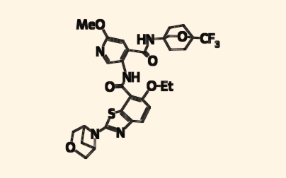 CCOc1ccc2nc(N3C4COCC3C4)sc2c1C(=O)Nc1cnc(OC)cc1C(=O)NC12CCC(C(F)(F)F)(CC1)OC2